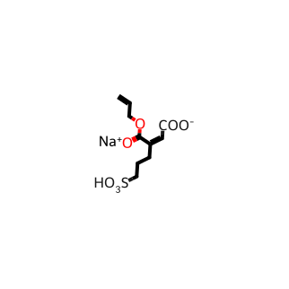 C=CCOC(=O)C(=CC(=O)[O-])CCCS(=O)(=O)O.[Na+]